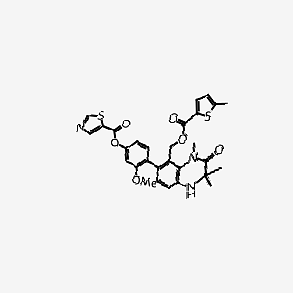 COc1cc(OC(=O)c2cncs2)ccc1-c1ccc2c(c1COC(=O)c1ccc(C)s1)N(C)C(=O)C(C)(C)N2